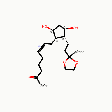 CCCCCC1(CC[C@@H]2[C@@H](C/C=C\CCCC(=O)OC)[C@@H](O)C[C@H]2O)OCCO1